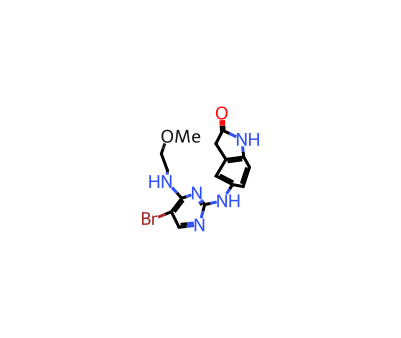 COCCNc1nc(Nc2ccc3c(c2)CC(=O)N3)ncc1Br